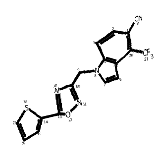 N#Cc1ccc2c(ccn2Cc2noc(-c3cccs3)n2)c1C(F)(F)F